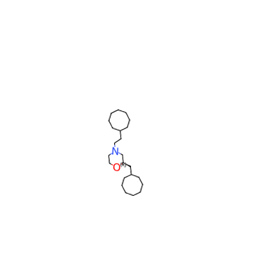 C1CCCC(CCN2CCO[C@H](CC3CCCCCCC3)C2)CCC1